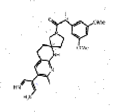 COc1cc(OC)cc([C@@H](C)C(=O)N2CC[C@@]3(CCc4cc(/C(C=N)=C/N)c(C)nc4N3)C2)c1